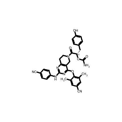 Cc1cc(C#N)cc(C)c1Oc1nc(Nc2ccc(C#N)cc2)nc2c1CN(C(=O)[C@H](Cc1ccc(O)cc1)OC(N)=O)CC2